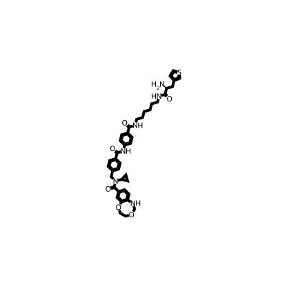 N[C@H](Cc1ccsc1)C(=O)NCCCCCCNC(=O)c1ccc(NC(=O)c2ccc(CN(C(=O)c3ccc4c(c3)OCCOCN4)C3CC3)cc2)cc1